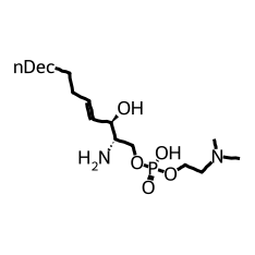 CCCCCCCCCCCC/C=C/[C@@H](O)[C@@H](N)COP(=O)(O)OCCN(C)C